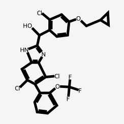 OC(c1nc2c(Cl)c(-c3ccccc3OC(F)(F)F)c(Cl)cc2[nH]1)c1ccc(OCC2CC2)cc1Cl